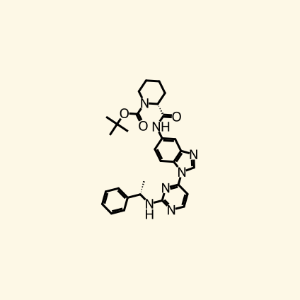 C[C@H](Nc1nccc(-n2cnc3cc(NC(=O)[C@H]4CCCCN4C(=O)OC(C)(C)C)ccc32)n1)c1ccccc1